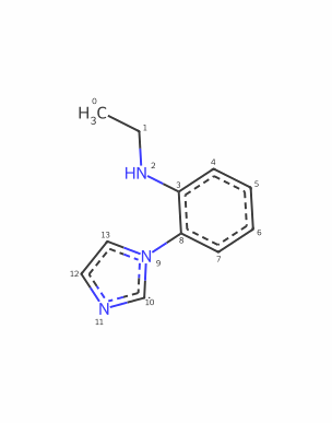 CCNc1ccccc1-n1[c]ncc1